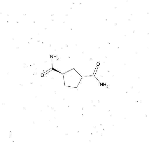 NC(=O)[C@@H]1CC[C@@H](C(N)=O)C1